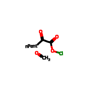 C=O.CCCCCC(=O)C(=O)OCl